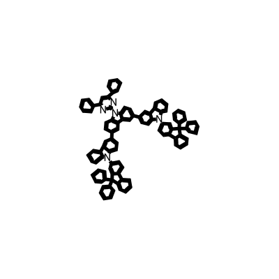 c1ccc(-c2cc(-c3ccccc3)nc(-n3c4ccc(-c5ccc6c(c5)c5ccccc5n6-c5ccc6c(c5)C(c5ccccc5)(c5ccccc5)c5ccccc5-6)cc4c4cc(-c5ccc6c(c5)c5ccccc5n6-c5ccc6c(c5)C(c5ccccc5)(c5ccccc5)c5ccccc5-6)ccc43)n2)cc1